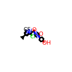 O=C(c1nn2c(C(F)(F)F)cc(C3CC3)cc2c1Cl)N1CCN(C2CCC(O)CC2)C(=O)C1